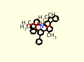 Cc1ccccc1-c1cc(-c2ccccc2)cc(-c2ccccc2C)c1N(c1ccc2c(c1)C(C)(C)c1ccccc1-2)c1cccc2c1-c1ccccc1C2(C)C